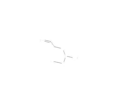 C=CCOB(O)OCl